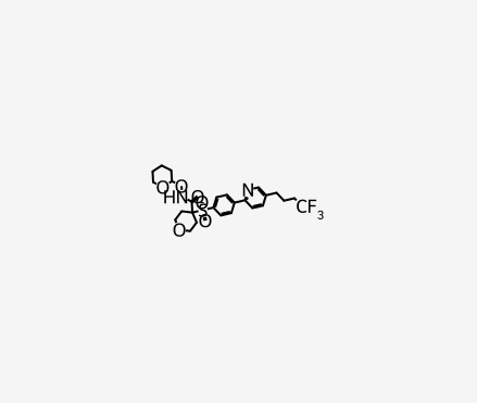 O=C(NOC1CCCCO1)C1(S(=O)(=O)c2ccc(-c3ccc(CCCC(F)(F)F)cn3)cc2)CCOCC1